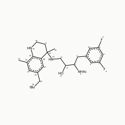 CC(=O)NC(Cc1cc(F)cc(F)c1)C(O)CNC1(C)CCNc2c(C)cc(CC(C)(C)C)cc21